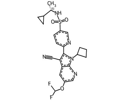 C[C@H](NS(=O)(=O)c1ccc(-c2c(C#N)c3cc(OC(F)F)cnc3n2C2CCC2)nc1)C1CC1